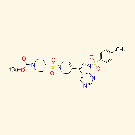 Cc1ccc(S(=O)(=O)n2cc(C3=CCN(S(=O)(=O)C4CCN(C(=O)OC(C)(C)C)CC4)CC3)c3cncnc32)cc1